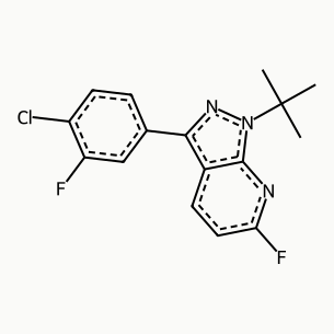 CC(C)(C)n1nc(-c2ccc(Cl)c(F)c2)c2ccc(F)nc21